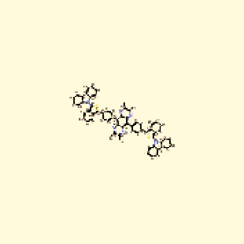 Cc1nc2c(-c3ccc(-c4sc(-n5c6ccccc6c6ccccc65)c5ccccc45)cc3)c3nc(C)c(C)nc3c(-c3ccc(-c4sc(-n5c6ccccc6c6ccccc65)c5ccccc45)cc3)c2nc1C